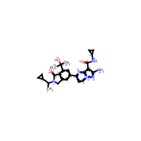 CC(C1CC1)N1Cc2cc(-c3ccn4nc(N)c(C(=O)NC5CC5)c4n3)cc(C(C)(C)O)c2C1=O